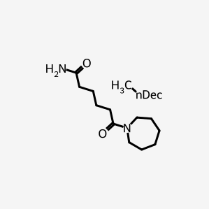 CCCCCCCCCCC.NC(=O)CCCCC(=O)N1CCCCCC1